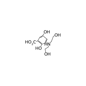 O=C(O)c1cc(O)ccc1O.OCCNCCO